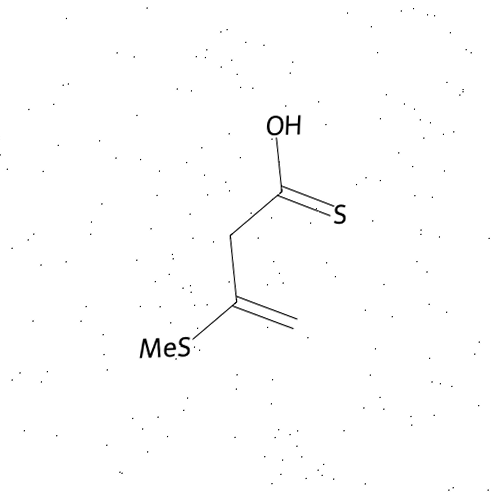 C=C(CC(O)=S)SC